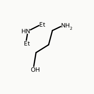 CCNCC.NCCCO